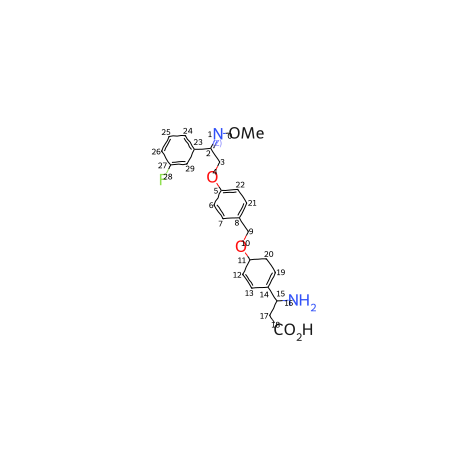 CO/N=C(\COc1ccc(COC2C=CC(C(N)CC(=O)O)=CC2)cc1)c1cccc(F)c1